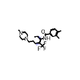 C/C=C(NC(=O)c1ccc(C)c(C)c1)\C(=C/CCN1CCN(C)CC1)C(F)(F)F